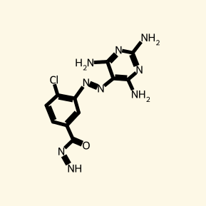 N=NC(=O)c1ccc(Cl)c(N=Nc2c(N)nc(N)nc2N)c1